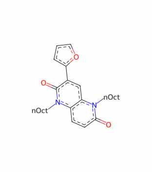 CCCCCCCCn1c(=O)ccc2c1cc(-c1ccco1)c(=O)n2CCCCCCCC